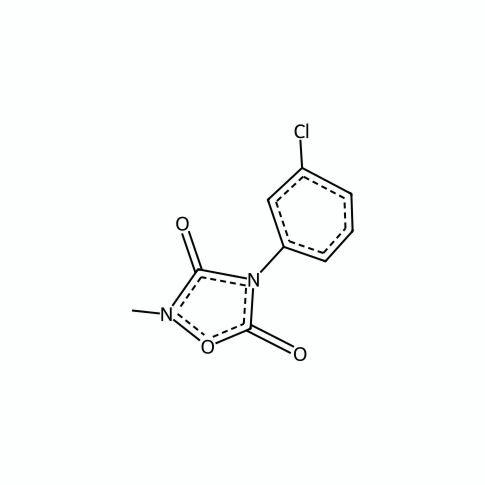 Cn1oc(=O)n(-c2cccc(Cl)c2)c1=O